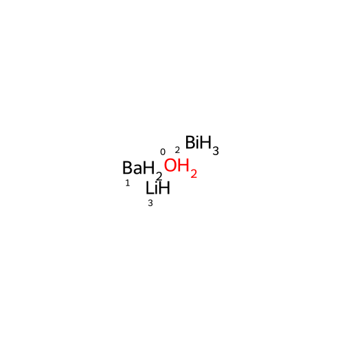 O.[BaH2].[BiH3].[LiH]